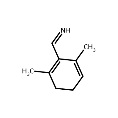 CC1=CCCC(C)=C1C=N